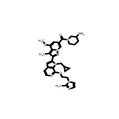 COc1cc(C(=O)N2CCCC(N)C2)cn2nc(-c3cc4ccnc(OCCn5ccnc5C)c4n3CC3CC3)c(C)c12